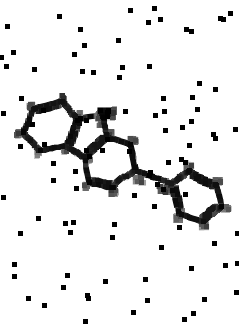 C1=Cc2[nH]c3c(c2CC1)C=CC(c1ccccc1)C3